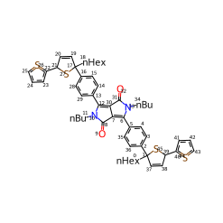 CCCCCCC1(c2ccc(C3=C4C(=O)N(CCCC)C(c5ccc(C6(CCCCCC)C=CC(c7cccs7)S6)cc5)=C4C(=O)N3CCCC)cc2)C=CC(c2cccs2)S1